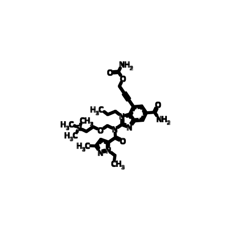 CCCn1c(N(COCC[Si](C)(C)C)C(=O)c2cc(C)nn2CC)nc2cc(C(N)=O)cc(C#CCOC(N)=O)c21